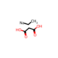 C[CH2][Na].O=C(O)CC(=O)O